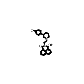 O=C1c2cccc3cccc(c23)C(O)N1CCN1CCCC(c2ccc(Cl)cc2)C1